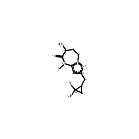 CN1C(=O)C(N)CCn2nc(CC3CC3(F)F)cc21